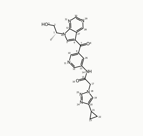 C[C@H](CO)n1cc(C(=O)c2cncc(NC(=O)Cn3cc(C4CC4)nn3)c2)c2cncnc21